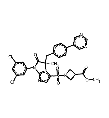 COC(=O)C1CN(S(=O)(=O)c2cnc3n2[C@](C)(Cc2ccc(-c4cncnc4)cc2)C(=O)N3c2cc(Cl)cc(Cl)c2)C1